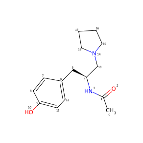 CC(=O)N[C@@H](Cc1ccc(O)cc1)CN1CCCC1